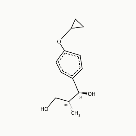 C[C@H](CO)[C@H](O)c1ccc(OC2CC2)cc1